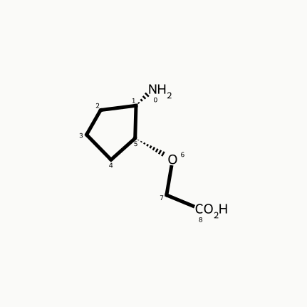 N[C@H]1CCC[C@H]1OCC(=O)O